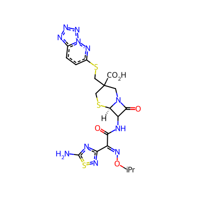 CC(C)ON=C(C(=O)NC1C(=O)N2CC(CSc3ccc4nnnn4n3)(C(=O)O)CS[C@H]12)c1nsc(N)n1